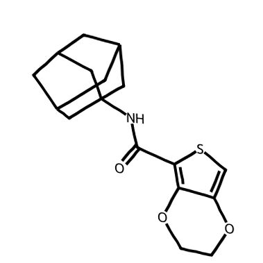 O=C(NC12CC3CC(CC(C3)C1)C2)c1scc2c1OCCO2